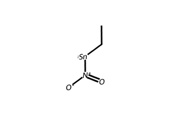 C[CH2][Sn][N+](=O)[O-]